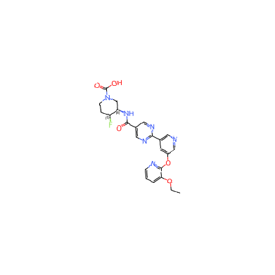 CCOc1cccnc1Oc1cncc(-c2ncc(C(=O)N[C@@H]3CN(C(=O)O)CC[C@@H]3F)cn2)c1